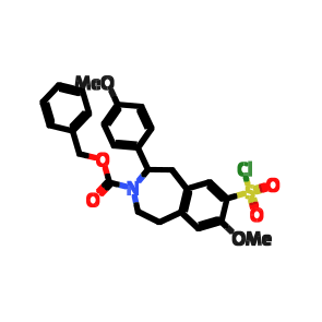 COc1ccc(C2Cc3cc(S(=O)(=O)Cl)c(OC)cc3CCN2C(=O)OCc2ccccc2)cc1